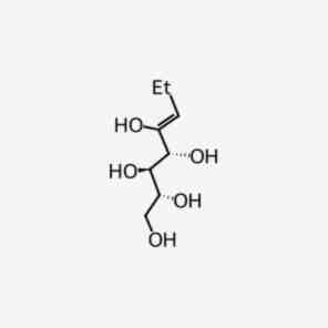 CCC=C(O)[C@H](O)[C@H](O)[C@H](O)CO